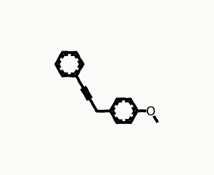 COc1ccc(CC#Cc2ccccc2)cc1